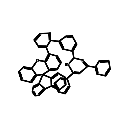 C1=C(c2ccccc2)NC(c2cccc(-c3ccccc3-c3cccc4c3Oc3ccccc3C43c4ccccc4-c4ccccc43)c2)N=C1c1ccccc1